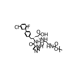 CC(C)(C)OC(=O)NCCCC(=O)NC[C@H](C[C@@H](Cc1ccc(-c2cc(Cl)ccc2F)cc1)NC(=O)c1cnn[nH]1)C(=O)O